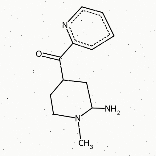 CN1CCC(C(=O)c2ccccn2)CC1N